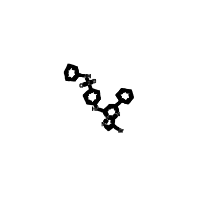 O=S(=O)(Nc1ccccc1)c1ccc(Nc2cc(-c3ccccc3)nc3c(Br)cnn23)cc1